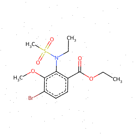 CCOC(=O)c1ccc(Br)c(OC)c1N(CC)S(C)(=O)=O